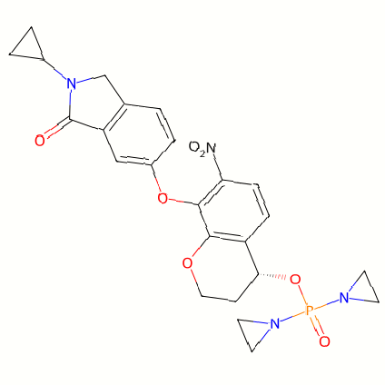 O=C1c2cc(Oc3c([N+](=O)[O-])ccc4c3OCC[C@H]4OP(=O)(N3CC3)N3CC3)ccc2CN1C1CC1